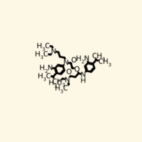 CCN(CC)CCCN(C(=O)C(=O)OC(CCN(CC)CC)Nc1ccc(C(C)C)c(N)c1)c1ccc(C(C)C)c(N)c1